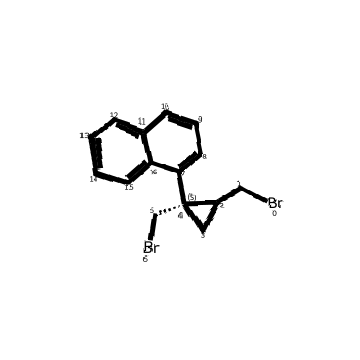 BrCC1C[C@@]1(CBr)c1cccc2ccccc12